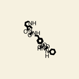 O=C(NC1CCCCC1)NS(=O)(=O)c1ccc(CCNC(=O)N2C=C3NCCC=C3C2=O)cc1